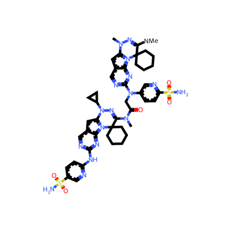 CNC1=NN(C)c2cc3cnc(N(CC(=O)N(C)C4=NN(C5CC5)c5cc6cnc(Nc7ccc(S(N)(=O)=O)cn7)nc6n5C45CCCCC5)c4ccc(S(N)(=O)=O)nc4)nc3n2C12CCCCC2